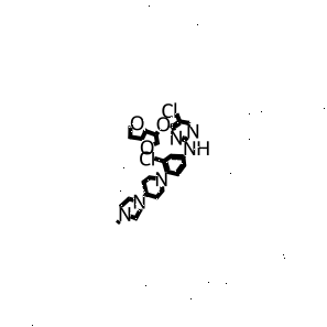 CN1CCN(C2CCN(c3ccc(Nc4ncc(Cl)c(OC5COC6CCOC65)n4)cc3Cl)CC2)CC1